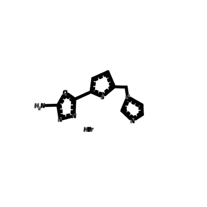 Br.Nc1nnc(-c2ccc(Cn3ccnc3)s2)o1